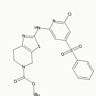 CC(C)(C)OC(=O)N1CCc2nc(Nc3cc(S(=O)(=O)c4ccccc4)cc(Cl)n3)sc2C1